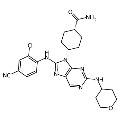 N#Cc1ccc(Nc2nc3cnc(NC4CCOCC4)nc3n2[C@H]2CC[C@@H](C(N)=O)CC2)c(Cl)c1